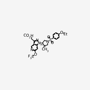 CCOc1ccc(S(=O)(=O)N2C[C@@H](C)[C@@H](n3nc(CC(=O)O)c4cnc(OC(F)(F)F)cc43)C2)cc1